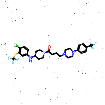 O=C(CCCN1CCN(c2ccc(C(F)(F)F)cc2)CC1)N1CCC(Nc2ccc(Cl)c(SC(F)(F)F)c2)CC1